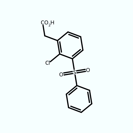 O=C(O)Cc1cccc(S(=O)(=O)c2ccccc2)c1Cl